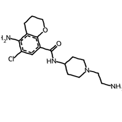 NCCN1CCC(NC(=O)c2cc(Cl)c(N)c3c2OCCC3)CC1